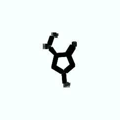 CC(C)N[C@@H]1CN(C(C)C)CC1=O